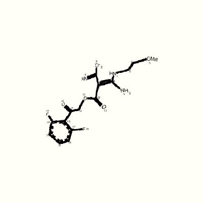 COCCN/C(N)=C(\C(C)=N)C(=O)OCC(=O)c1c(F)cccc1F